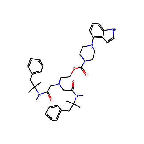 CN(C(=O)CN(CCOC(=O)N1CCN(c2cccc3[nH]ccc23)CC1)CC(=O)N(C)C(C)(C)Cc1ccccc1)C(C)(C)Cc1ccccc1